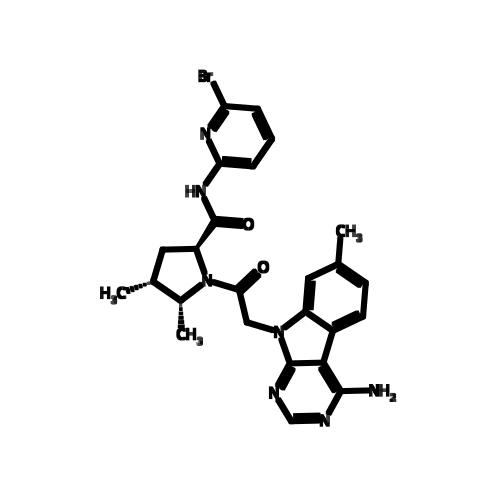 Cc1ccc2c3c(N)ncnc3n(CC(=O)N3[C@H](C)[C@H](C)C[C@H]3C(=O)Nc3cccc(Br)n3)c2c1